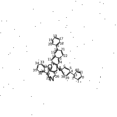 c1ccc(-c2ccc(N(c3ccc4cc(-c5ccccc5)ccc4c3)c3cncc4c3oc3ccccc34)cc2)cc1